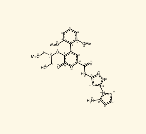 COC[C@@H](CO)Oc1c(-c2c(OC)cccc2OC)cc(C(=O)Nc2nnc(-n3nccc3N)s2)oc1=O